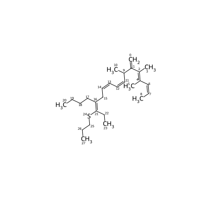 C=C(/C(C)=C(C)/C=C\C)C(C)/C=C\C=C/C/C(CCCC)=C(\CC)SCCC